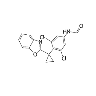 O=CNc1cc(Cl)c(C2(c3nc4ccccc4o3)CC2)c(Cl)c1